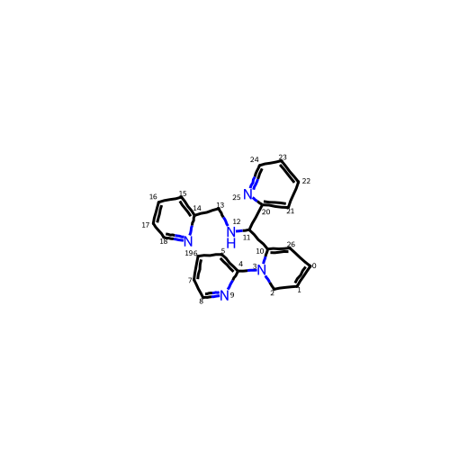 C1=CCN(c2ccccn2)C(C(NCc2ccccn2)c2ccccn2)=C1